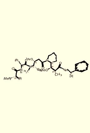 CCC(C)[C@@H]([C@@H](CC(=O)N1CCCC[C@H]1[C@H](OC)[C@@H](C)C(=O)NC[C@@H](O)c1ccccc1)OC)N(C)C(=O)[C@@H](NC(=O)[C@@H](NC)C(C)C)C(C)C